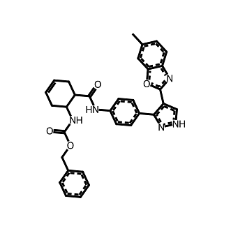 Cc1ccc2nc(-c3c[nH]nc3-c3ccc(NC(=O)C4CC=CCC4NC(=O)OCc4ccccc4)cc3)oc2c1